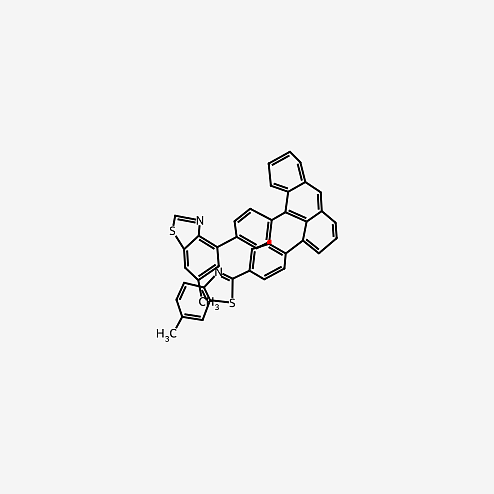 Cc1ccc2nc(-c3ccc(-c4cccc5cc6ccccc6c(-c6ccc(-c7cc(C)cc8scnc78)cc6)c45)cc3)sc2c1